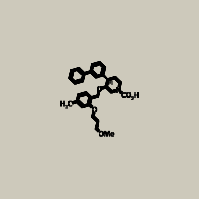 COCCCOc1cc(C)ccc1COC1CN(C(=O)O)CC[C@@H]1c1cccc(-c2ccccc2)c1